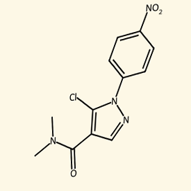 CN(C)C(=O)c1cnn(-c2ccc([N+](=O)[O-])cc2)c1Cl